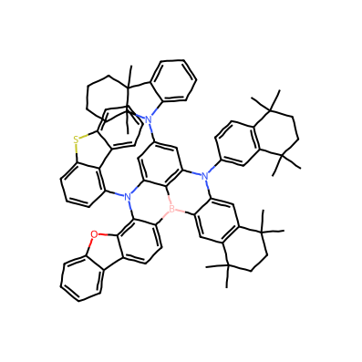 CC1(C)CCC(C)(C)c2cc(N3c4cc5c(cc4B4c6ccc7c(oc8ccccc87)c6N(c6cccc7sc8ccccc8c67)c6cc(N7c8ccccc8C8(C)CCCCC78C)cc3c64)C(C)(C)CCC5(C)C)ccc21